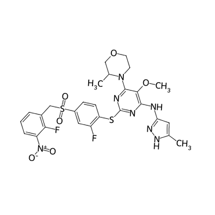 COc1c(Nc2cc(C)[nH]n2)nc(Sc2ccc(S(=O)(=O)Cc3cccc([N+](=O)[O-])c3F)cc2F)nc1N1CCOCC1C